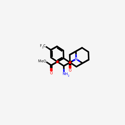 COC(=O)CC(N)C1CC2CCCC(C1)N2C(=O)c1ccc(C(F)(F)F)cc1